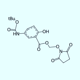 CC(C)(C)OC(=O)Nc1ccc(O)c(C(=O)OCON2C(=O)CCC2=O)c1